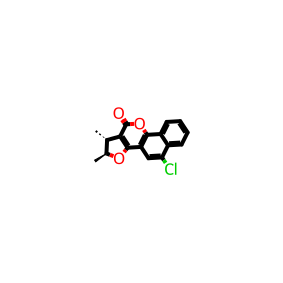 C[C@@H]1Oc2c(c(=O)oc3c2cc(Cl)c2ccccc23)[C@H]1C